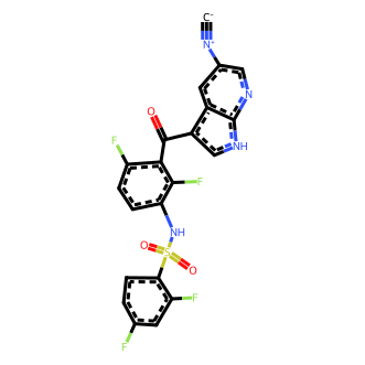 [C-]#[N+]c1cnc2[nH]cc(C(=O)c3c(F)ccc(NS(=O)(=O)c4ccc(F)cc4F)c3F)c2c1